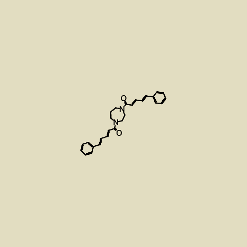 O=C(/C=C/C=C/c1ccccc1)N1CCCN(C(=O)/C=C/C=C/c2ccccc2)CC1